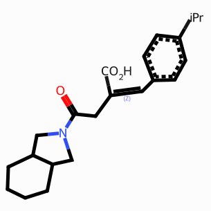 CC(C)c1ccc(/C=C(/CC(=O)N2CC3CCCCC3C2)C(=O)O)cc1